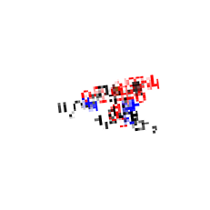 C=C1CC2C=Nc3cc(OCc4cc(COc5cc6c(cc5OC)C(=O)N5CC(=C)C[C@H]5C=N6)cc(OS(=O)(=O)Oc5cc(C(=O)NC)ccc5O[C@@H]5O[C@H](CO)[C@H](O)[C@H](O)[C@H]5O)c4)c(OC)cc3C(=O)N2C1